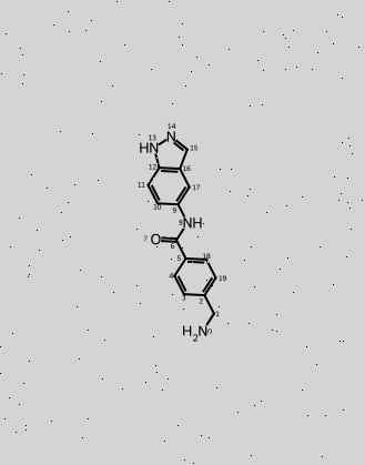 NCc1ccc(C(=O)Nc2ccc3[nH]ncc3c2)cc1